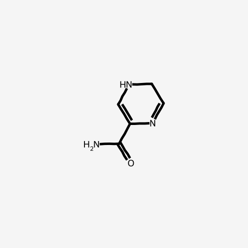 NC(=O)C1=CNCC=N1